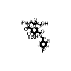 CCCCOc1c2n(cc(C(=O)NCc3ccc(F)cc3F)c1=O)[C@]1(C[C@H]1CO)CN(C(C)C)C2=O